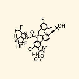 Cn1nc(NS(C)(=O)=O)c2c(Cl)ccc(-c3ccc(C#CC(C)(C)O)nc3C(Cc3cc(F)cc(F)c3)NC(=O)Cn3nc(C(F)F)c4c3C(F)(F)[C@@H]3C[C@H]43)c21